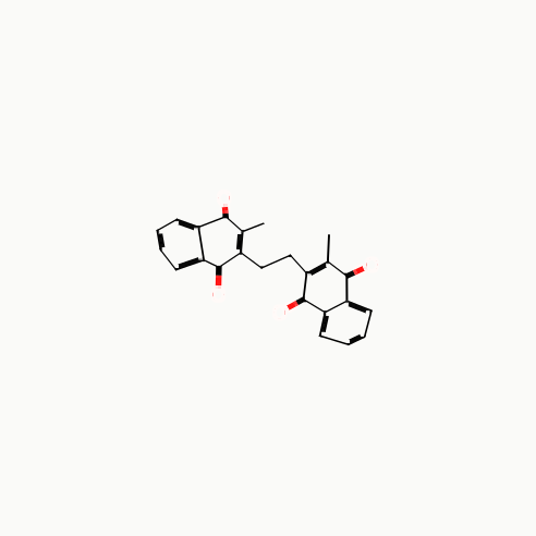 CC1=C(CCC2=C(C)C(=O)c3ccccc3C2=O)C(=O)c2ccccc2C1=O